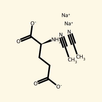 CC#N.CC#N.N[C@@H](CCC(=O)[O-])C(=O)[O-].[Na+].[Na+]